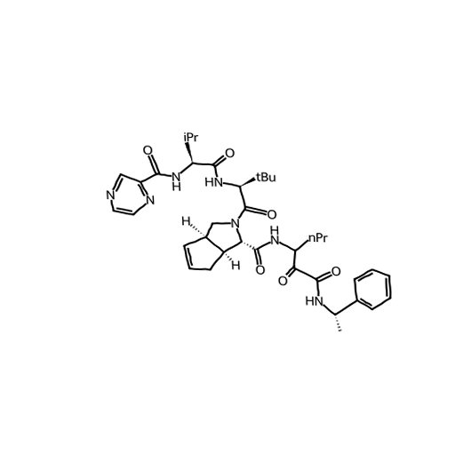 CCCC(NC(=O)[C@@H]1[C@H]2CC=C[C@H]2CN1C(=O)[C@@H](NC(=O)[C@@H](NC(=O)c1cnccn1)C(C)C)C(C)(C)C)C(=O)C(=O)N[C@@H](C)c1ccccc1